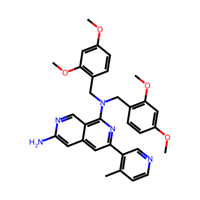 COc1ccc(CN(Cc2ccc(OC)cc2OC)c2nc(-c3cnccc3C)cc3cc(N)ncc23)c(OC)c1